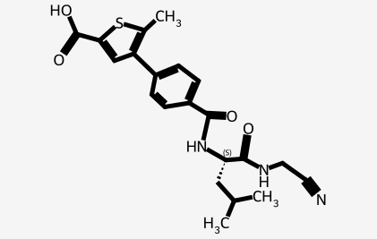 Cc1sc(C(=O)O)cc1-c1ccc(C(=O)N[C@@H](CC(C)C)C(=O)NCC#N)cc1